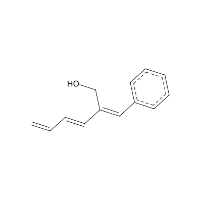 C=CC=CC(=Cc1ccccc1)CO